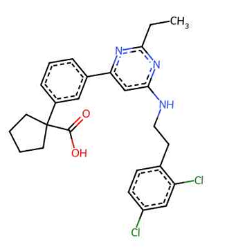 CCc1nc(NCCc2ccc(Cl)cc2Cl)cc(-c2cccc(C3(C(=O)O)CCCC3)c2)n1